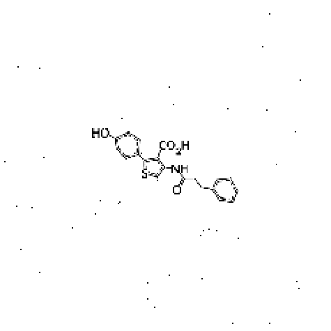 O=C(CCc1ccccc1)Nc1csc(-c2ccc(O)cc2)c1C(=O)O